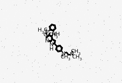 CN(C)CCN(C)c1ccc(-c2cc3c(Nc4ccccc4P(C)(C)=O)ccnc3[nH]2)cc1